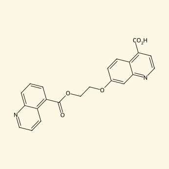 O=C(O)c1ccnc2cc(OCCOC(=O)c3cccc4ncccc34)ccc12